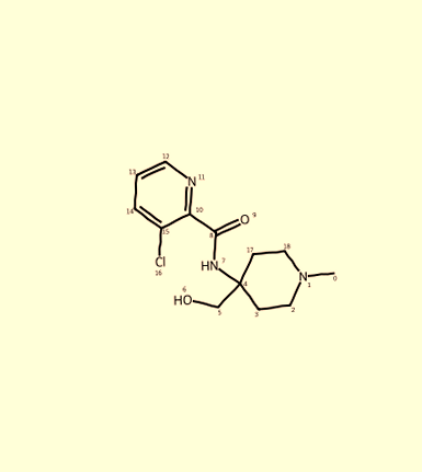 CN1CCC(CO)(NC(=O)c2ncccc2Cl)CC1